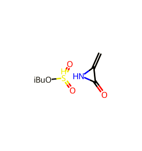 C=C1NC1=O.CC(C)CO[SH](=O)=O